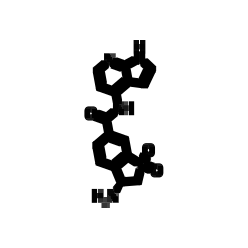 N[C@@H]1CS(=O)(=O)c2cc(C(=O)Nc3ccnc4[nH]ccc34)ccc21